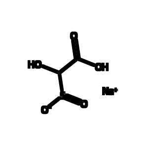 O=C(O)C(O)S(=O)[O-].[Na+]